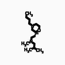 CCCCN1CCO[C@H](CCN(C)CC(C)C)C1